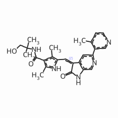 Cc1ccncc1-c1cc2c(cn1)NC(=O)/C2=C\c1[nH]c(C)c(C(=O)NC(C)(C)CO)c1C